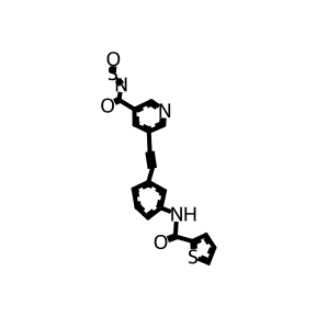 O=S=NC(=O)c1cncc(C#Cc2cccc(NC(=O)c3cccs3)c2)c1